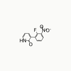 O=c1[nH]cccc1-c1cccc([N+](=O)[O-])c1F